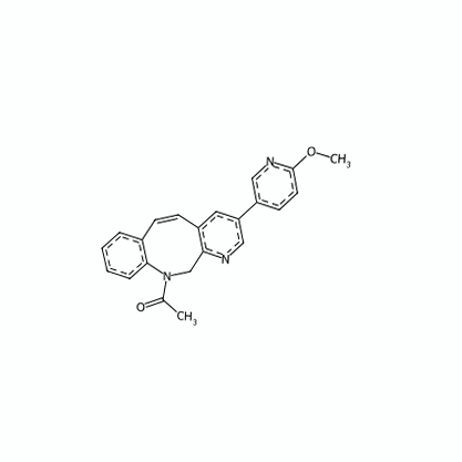 COc1ccc(-c2cnc3c(c2)C=Cc2ccccc2N(C(C)=O)C3)cn1